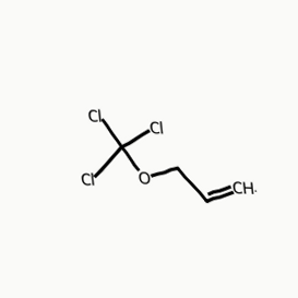 [CH]=CCOC(Cl)(Cl)Cl